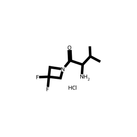 CC(C)C(N)C(=O)N1CC(F)(F)C1.Cl